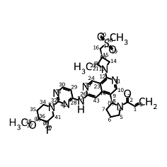 C=CC(=O)N1CCC[C@H]1c1cnc(N2C[C@H](CS(C)(=O)=O)[C@H]2C)c2cnc(Nc3ccnc(N4CC[C@@H](OC)[C@@H](F)C4)n3)cc12